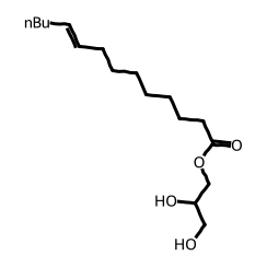 CCCCC=CCCCCCCCC(=O)OCC(O)CO